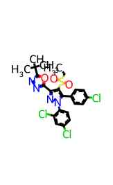 CCS(=O)(=O)c1c(-c2nnc(C(C)(C)C)o2)nn(-c2ccc(Cl)cc2Cl)c1-c1ccc(Cl)cc1